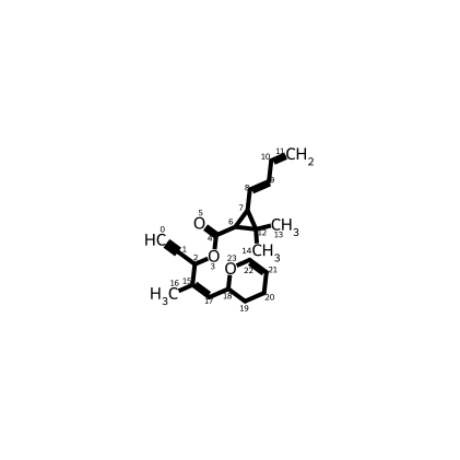 C#CC(OC(=O)C1C(C=CC=C)C1(C)C)C(C)=CC1CCC=CO1